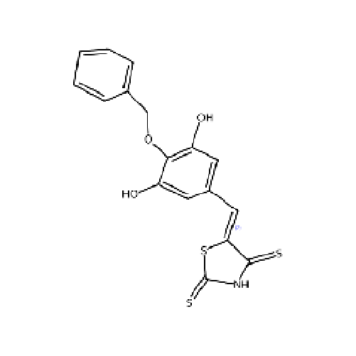 Oc1cc(/C=C2\SC(=S)NC2=S)cc(O)c1OCc1ccccc1